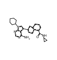 Nc1ncnc2c1c(-c1ccc3c(C(=O)NC4CC4)cccc3c1)cn2C1CCCCC1